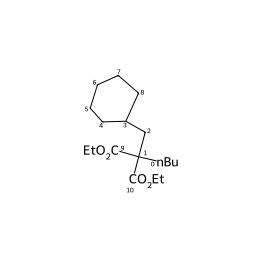 CCCCC(CC1CCCCC1)(C(=O)OCC)C(=O)OCC